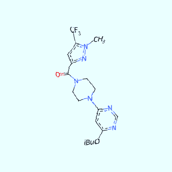 CC(C)COc1cc(N2CCN(C(=O)c3cc(C(F)(F)F)n(C)n3)CC2)ncn1